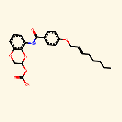 CCCCC/C=C/COc1ccc(C(=O)Nc2cccc3c2OC(OC(=O)O)CO3)cc1